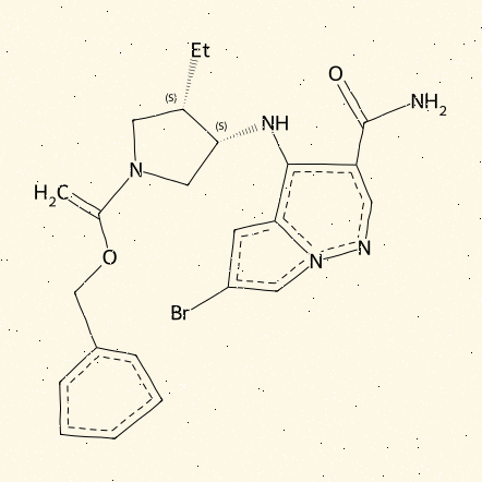 C=C(OCc1ccccc1)N1C[C@H](CC)[C@H](Nc2c(C(N)=O)cnn3cc(Br)cc23)C1